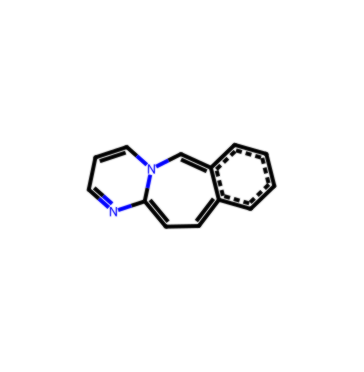 C1=CN2C=c3ccccc3=CC=C2N=C1